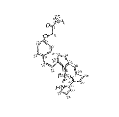 CCNC(=O)COc1ccc(/C=C\c2ccc3n2[B-](F)(F)[N+]2=C(c4ccc[nH]4)C=CC2=C3)cc1